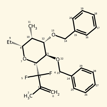 C=C(C)C(F)(F)[C@@H]1O[C@H](CC)[C@H](C)[C@H](OCc2ccccc2)[C@H]1OCc1ccccc1